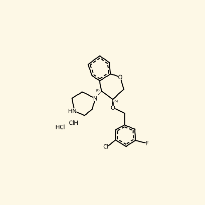 Cl.Cl.Fc1cc(Cl)cc(CO[C@@H]2COc3ccccc3[C@H]2N2CCNCC2)c1